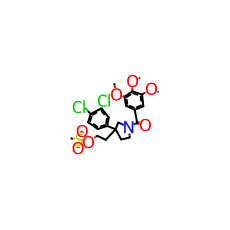 COc1cc(C(=O)N2CCC(CCOS(C)(=O)=O)(c3ccc(Cl)c(Cl)c3)C2)cc(OC)c1OC